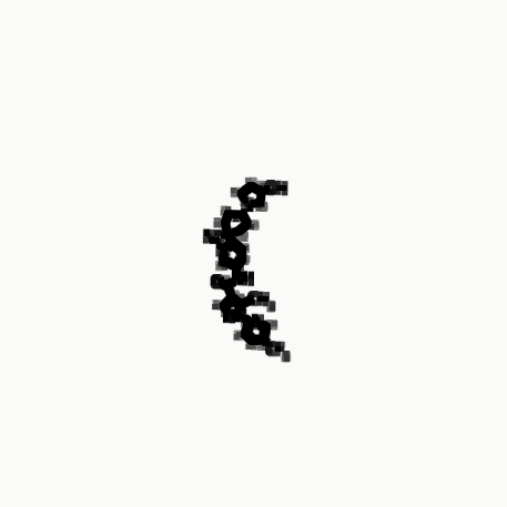 Cc1c(C(=O)Nc2ccc([C@]3(C#N)CC[C@@H](N4CCC(O)C4)CC3)nc2)cnn1-c1ccc(C(F)(F)F)cn1